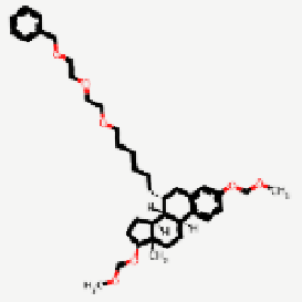 COCOc1ccc2c(c1)C[C@@H](CCCCCCOCCOCCOCc1ccccc1)[C@@H]1[C@@H]2CC[C@]2(C)[C@@H](OCOC)CC[C@@H]12